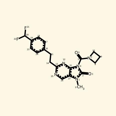 Cn1c(=O)n(C(=O)N2CCC2)c2nc(CCc3ccc(C(F)F)cc3)ncc21